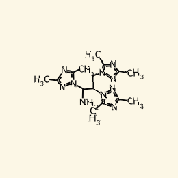 Cc1nc(C)n(CC(C(N)n2nc(C)nc2C)n2nc(C)nc2C)n1